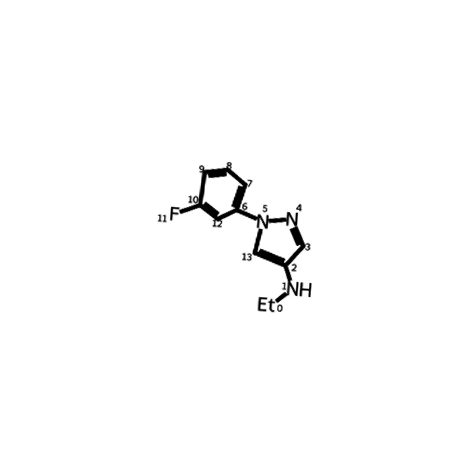 CCNc1cnn(-c2cccc(F)c2)c1